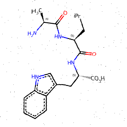 CC(C)C[C@H](NC(=O)[C@H](C)N)C(=O)N[C@@H](Cc1c[nH]c2ccccc12)C(=O)O